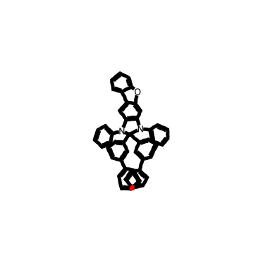 c1ccc(-c2cccc(C3(c4cccc(-c5ccccc5)c4)N(c4ccccc4)c4cc5oc6ccccc6c5cc4N3c3ccccc3)c2)cc1